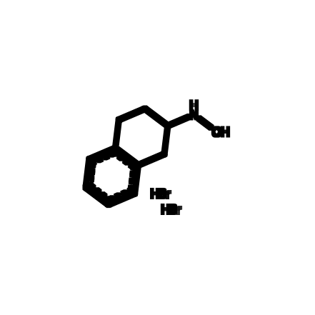 Br.Br.ONC1CCc2ccccc2C1